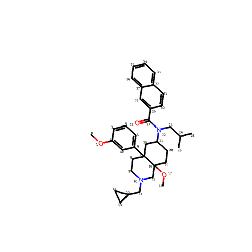 COc1cccc(C23CCN(CC4CC4)CC2(OC)CCC(N(CC(C)C)C(=O)c2ccc4ccccc4c2)C3)c1